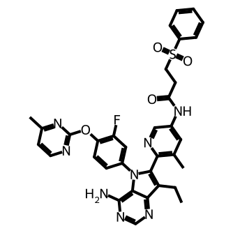 CCc1c(-c2ncc(NC(=O)CCS(=O)(=O)c3ccccc3)cc2C)n(-c2ccc(Oc3nccc(C)n3)c(F)c2)c2c(N)ncnc12